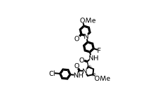 COc1ccn(-c2ccc(NC(=O)[C@H]3C[C@@H](OC)CN3C(=O)Nc3ccc(Cl)cc3)c(F)c2)c(=O)c1